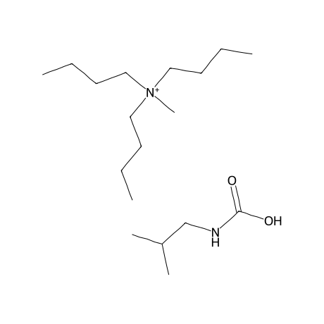 CC(C)CNC(=O)O.CCCC[N+](C)(CCCC)CCCC